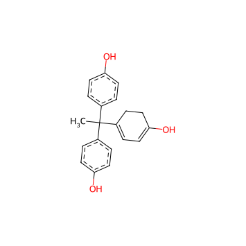 CC(C1=CC=C(O)CC1)(c1ccc(O)cc1)c1ccc(O)cc1